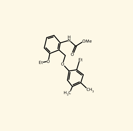 CCOc1cccc(NC(=O)OC)c1COc1cc(C)c(C)cc1CC